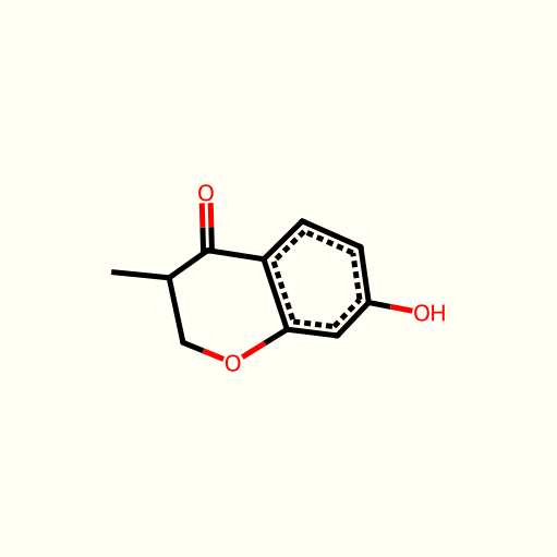 CC1COc2cc(O)ccc2C1=O